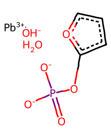 O.O=P([O-])([O-])Oc1ccco1.[OH-].[Pb+3]